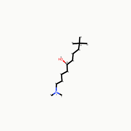 CN(C)CCCC[C@@H](O)CCCC(C)(C)C